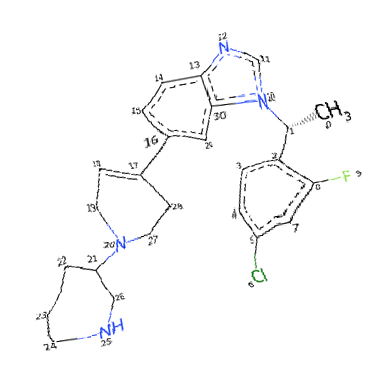 C[C@H](c1ccc(Cl)cc1F)n1cnc2ccc(C3=CCN(C4CCCNC4)CC3)cc21